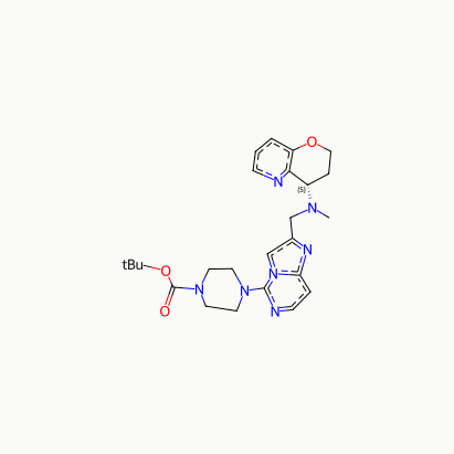 CN(Cc1cn2c(N3CCN(C(=O)OC(C)(C)C)CC3)nccc2n1)[C@H]1CCOc2cccnc21